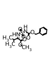 COC(=O)[C@@H](NS(=O)(=O)NC(=O)OCc1ccccc1)C(C)C